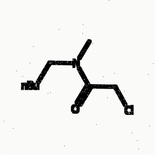 CCCCCN(C)C(=O)CCl